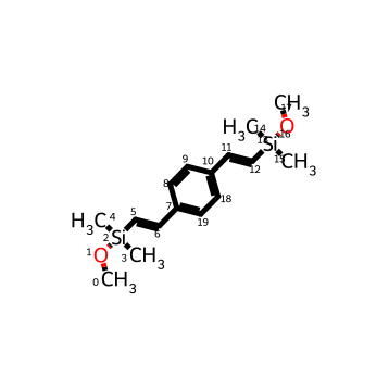 CO[Si](C)(C)C=Cc1ccc(C=C[Si](C)(C)OC)cc1